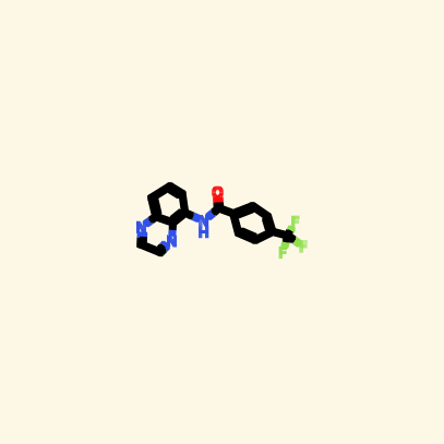 O=C(Nc1cccc2nccnc12)c1ccc(C(F)(F)F)cc1